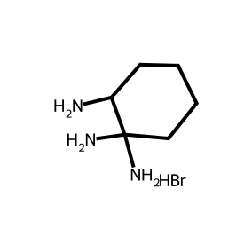 Br.NC1CCCCC1(N)N